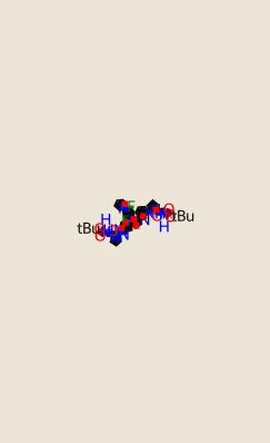 C=NC1=C(NC2CCCN2C(=O)CNC(=O)OC(C)(C)C)C=CCC1C1CCC(c2ccc3[nH]c([C@@H]4CCCN4C(=O)CNC(=O)OC(C)(C)C)nc3c2)N1c1cc(F)c(N2CCCCC2)cc1F